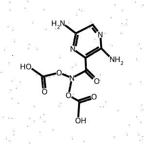 Nc1cnc(N)c(C(=O)N(OC(=O)O)OC(=O)O)n1